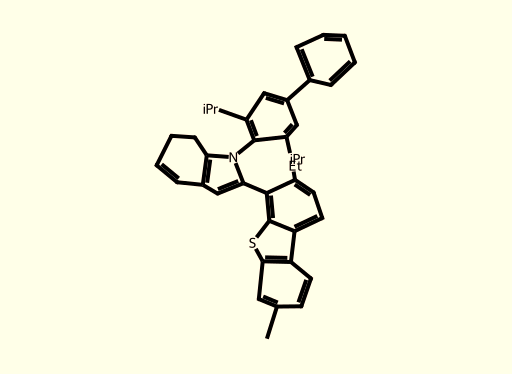 CCc1ccc2c(sc3cc(C)ccc32)c1-c1cc2c(n1-c1c(C(C)C)cc(-c3ccccc3)cc1C(C)C)CCC=C2